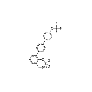 O=S1(=O)NCc2cccc(-c3ccc(-c4ccc(OC(F)(F)F)cc4)cc3)c2O1